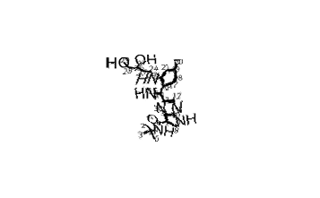 CC(C)(C)NC(=O)c1c[nH]c2ncc(C(=N)c3ccc(F)cc3NCCC(O)CO)nc12